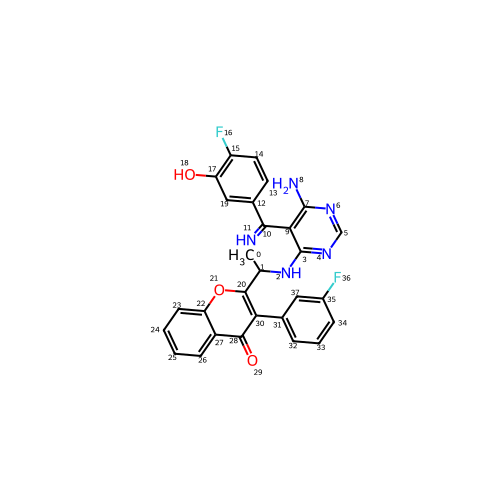 CC(Nc1ncnc(N)c1C(=N)c1ccc(F)c(O)c1)c1oc2ccccc2c(=O)c1-c1cccc(F)c1